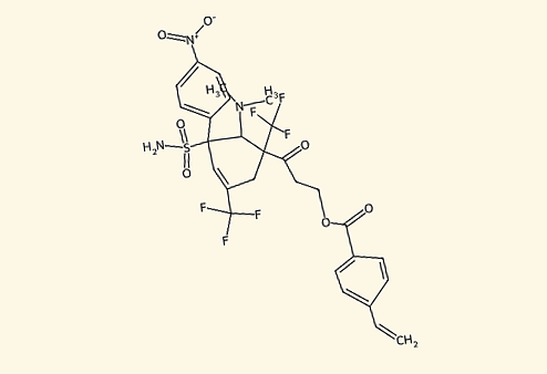 C=Cc1ccc(C(=O)OCCC(=O)C2(C(F)(F)F)CC(C(F)(F)F)=CC(c3ccc([N+](=O)[O-])cc3)(S(N)(=O)=O)C2N(C)C)cc1